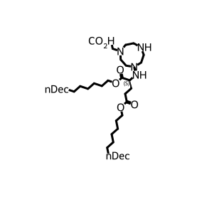 CCCCCCCCCCCCCCCCOC(=O)CC[C@H](NN1CCNCCN(CC(=O)O)CC1)C(=O)OCCCCCCCCCCCCCCCC